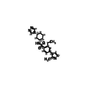 CCc1cc(-n2cnnc2C)ccc1S(=O)(=O)N[C@H]1CCC[C@@H](n2cnnc2)C1